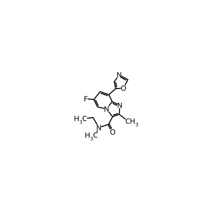 CCN(C)C(=O)c1c(C)nc2c(-c3cnco3)cc(F)cn12